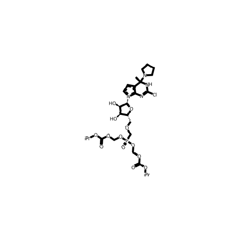 CC(C)OC(=O)OCOP(=O)(COC[C@H]1O[C@@H](n2ccc3c2N=C(Cl)NC3(C)N2CCCC2)[C@H](O)[C@@H]1O)OCOC(=O)OC(C)C